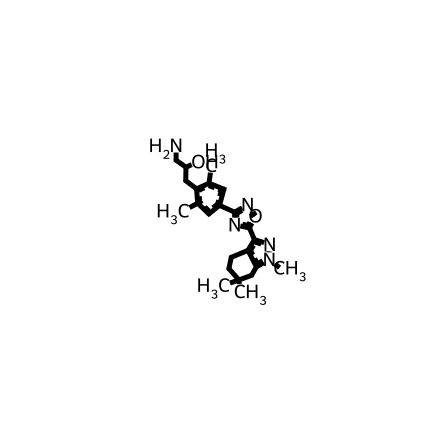 Cc1cc(-c2noc(-c3nn(C)c4c3CCC(C)(C)C4)n2)cc(C)c1CC(O)CN